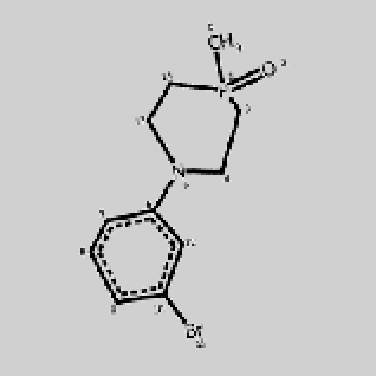 CP1(=O)CCN(c2cccc(Br)c2)CC1